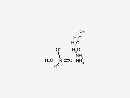 N.N.O.O.O.O.O=[N+]([O-])[O-].[Ce]